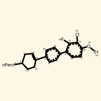 CCCCCC1CC=C(c2ccc(-c3ccc(OCC)c(Cl)c3F)cc2)CC1